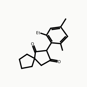 CCc1cc(C)cc(C)c1C1C(=O)CC2(CCCC2)C1=O